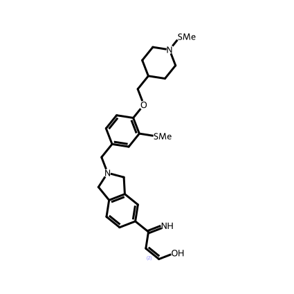 CSc1cc(CN2Cc3ccc(C(=N)/C=C\O)cc3C2)ccc1OCC1CCN(SC)CC1